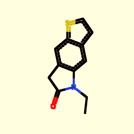 CCN1C(=O)Cc2cc3sccc3cc21